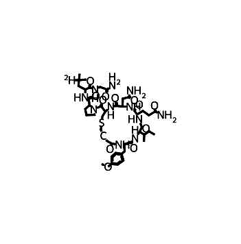 [2H]C(C)(C)CC(NC(=O)C1CCCN1C(=O)C1CSCCCC(=O)NC(Cc2ccc(OC)cc2)C(=O)NC(C(C)CC)C(=O)NC(CCC(N)=O)C(=O)NC(CC(N)=O)C(=O)N1)C(=O)NCC(N)=O